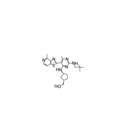 Cc1nc(NCC(C)(C)C)nc(N[C@H]2CC[C@@H](CO)C2)c1-c1nc2c(C)nccc2s1